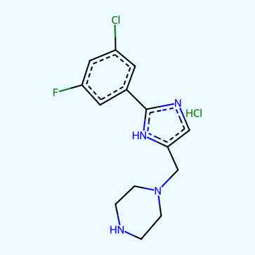 Cl.Fc1cc(Cl)cc(-c2ncc(CN3CCNCC3)[nH]2)c1